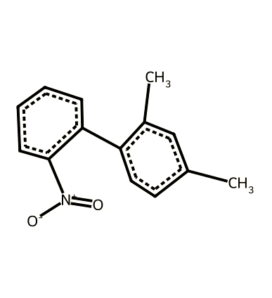 Cc1ccc(-c2ccccc2[N+](=O)[O-])c(C)c1